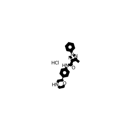 Cc1nn(-c2ccccc2)nc1C(=O)Nc1ccc([C@@H]2CNCCO2)cc1.Cl